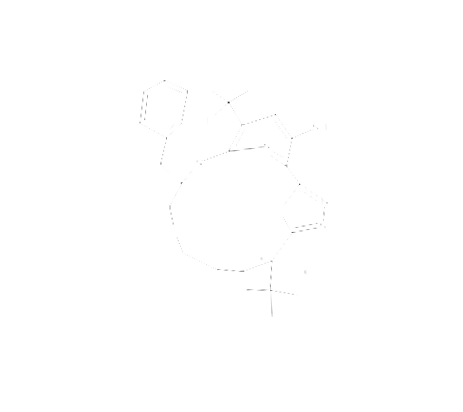 Nc1cc(C(F)(F)F)c2nc1-c1nnc(o1)[C@@](O)(C(F)(F)F)CCCCCC(Cc1ccccc1)N2